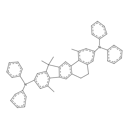 Cc1cc(N(c2ccccc2)c2ccccc2)cc2c1-c1cc3c(cc1CC2)-c1c(C)cc(N(c2ccccc2)c2ccccc2)cc1C3(C)C